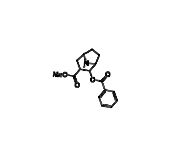 COC(=O)C1CC2CCC(C1OC(=O)c1ccccc1)N2C